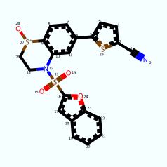 N#Cc1ccc(-c2ccc3c(c2)N(S(=O)(=O)c2cc4ccccc4o2)CC[S+]3[O-])s1